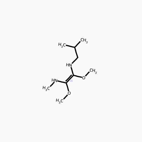 CN/C(OC)=C(\NCC(C)C)OC